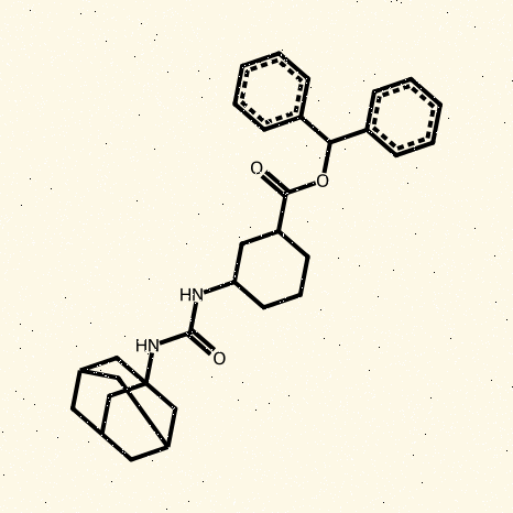 O=C(NC1CCCC(C(=O)OC(c2ccccc2)c2ccccc2)C1)NC12CC3CC(CC(C3)C1)C2